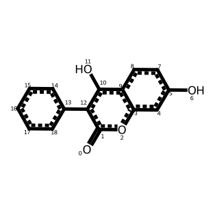 O=c1oc2cc(O)ccc2c(O)c1-c1ccccc1